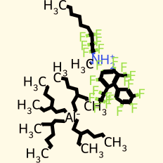 CCCCC(CC)C[CH2][Al-]([CH2]CC(CC)CCCC)([CH2]CC(CC)CCCC)[CH2]CC(CC)CCCC.CCCCCCC(F)(F)C(F)(F)C(F)(F)[NH2+]C.Fc1c(F)c(F)c(-c2c(C(F)(F)F)c(F)c(F)c(F)c2C(F)(F)C(F)(F)F)c(F)c1F